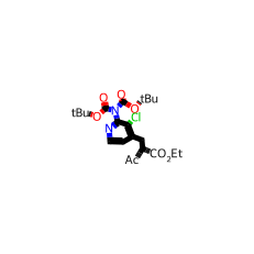 CCOC(=O)C(Cc1ccnc(N(C(=O)OC(C)(C)C)C(=O)OC(C)(C)C)c1Cl)C(C)=O